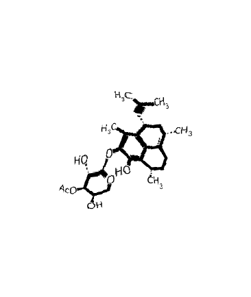 CC(=O)O[C@H]1[C@H](O)[C@@H](Oc2c(C)c3c4c(c2O)[C@@H](C)CC[C@@H]4[C@@H](C)C[C@H]3C=C(C)C)OC[C@H]1O